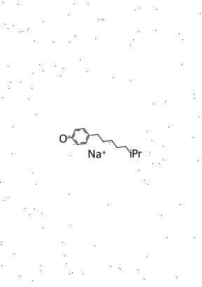 CC(C)CCCCCc1ccc([O-])cc1.[Na+]